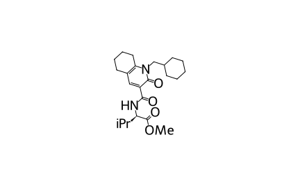 COC(=O)[C@H](NC(=O)c1cc2c(n(CC3CCCCC3)c1=O)CCCC2)C(C)C